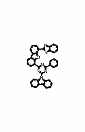 c1ccc(-c2nc(-c3cccc4c3oc3c(-c5nc6ccccc6s5)cccc34)nc(-n3c4ccccc4c4ccccc43)n2)cc1